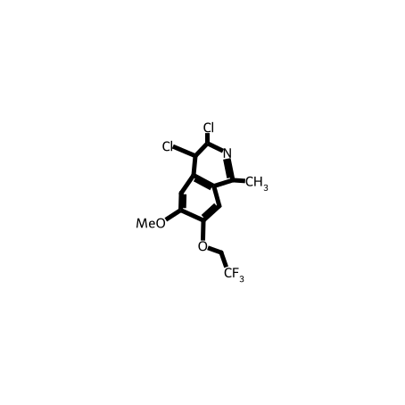 COc1cc2c(cc1OCC(F)(F)F)C(C)=NC(Cl)C2Cl